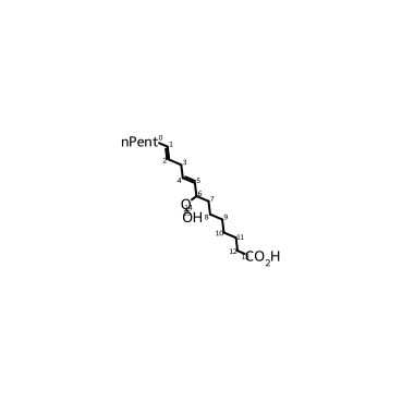 CCCCCC=CCC=CC(CCCCCCC(=O)O)OO